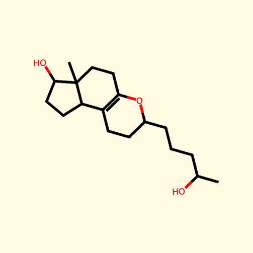 CC(O)CCCC1CCC2=C(CCC3(C)C(O)CCC23)O1